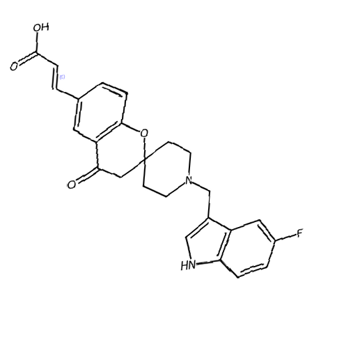 O=C(O)/C=C/c1ccc2c(c1)C(=O)CC1(CCN(Cc3c[nH]c4ccc(F)cc34)CC1)O2